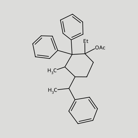 CCC1(OC(C)=O)CCC(C(C)c2ccccc2)C(C)C1(c1ccccc1)c1ccccc1